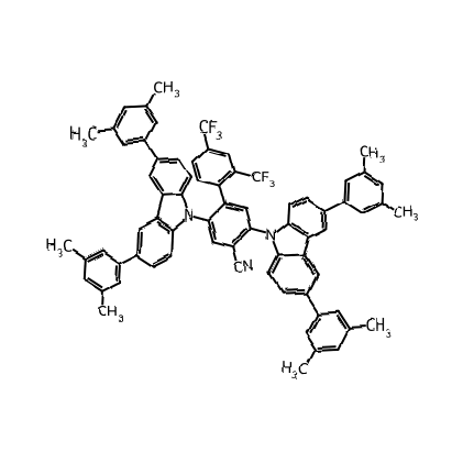 Cc1cc(C)cc(-c2ccc3c(c2)c2cc(-c4cc(C)cc(C)c4)ccc2n3-c2cc(-c3ccc(C(F)(F)F)cc3C(F)(F)F)c(-n3c4ccc(-c5cc(C)cc(C)c5)cc4c4cc(-c5cc(C)cc(C)c5)ccc43)cc2C#N)c1